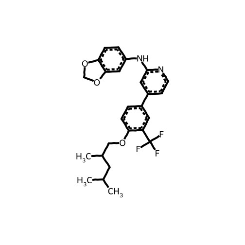 CC(C)CC(C)COc1ccc(-c2ccnc(Nc3ccc4c(c3)OCO4)c2)cc1C(F)(F)F